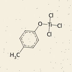 Cc1ccc([O][Ti]([Cl])([Cl])[Cl])cc1